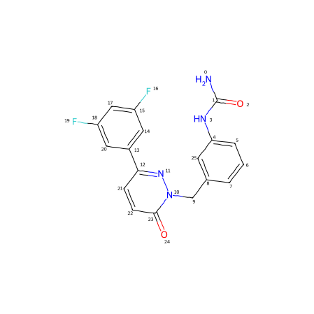 NC(=O)Nc1cccc(Cn2nc(-c3cc(F)cc(F)c3)ccc2=O)c1